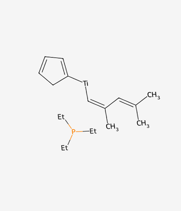 CC(C)=CC(C)=[CH][Ti][C]1=CC=CC1.CCP(CC)CC